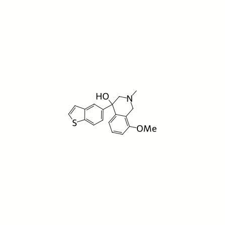 COc1cccc2c1CN(C)CC2(O)c1ccc2sccc2c1